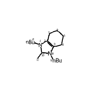 CCCCN1C2=C(CCCC2)N(CCCC)C1C